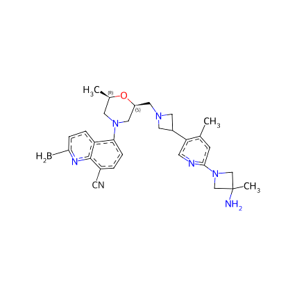 Bc1ccc2c(N3C[C@H](CN4CC(c5cnc(N6CC(C)(N)C6)cc5C)C4)O[C@H](C)C3)ccc(C#N)c2n1